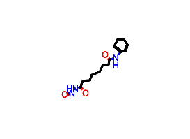 O=NNC(=O)CCCCCCC(=O)NC1=CCCC=C1